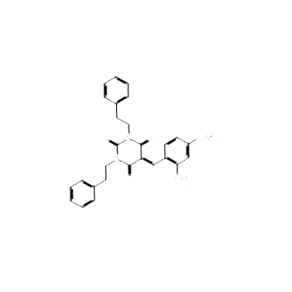 COc1ccc(C=C2C(=O)N(CCc3ccccc3)C(=O)N(CCc3ccccc3)C2=O)c(C)c1